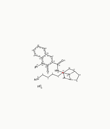 CC(=O)OCCCCCN1C2CCC1CC(NC(=O)c1cc3ccccc3n(C(C)C)c1=O)C2.Cl